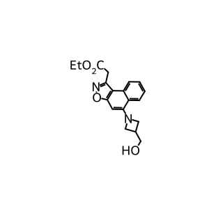 CCOC(=O)Cc1noc2cc(N3CC(CO)C3)c3ccccc3c12